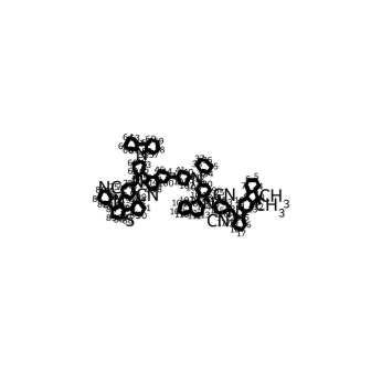 CC1(C)c2ccccc2-c2cc3c(cc21)c1ccccc1n3-c1cc(C#N)c(-n2c3ccc(N(c4ccccc4)c4ccc(-c5ccc6c(ccc7c6c6cc(-n8c9ccccc9c9ccccc98)ccc6n7-c6cc(C#N)c(-n7c8ccccc8c8ccc9sc%10ccccc%10c9c87)cc6C#N)c5)cc4)cc3c3c4ccccc4ccc32)cc1C#N